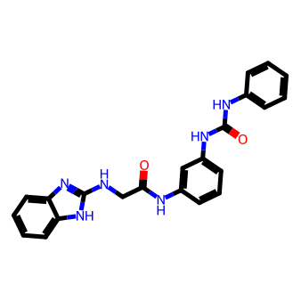 O=C(CNc1nc2ccccc2[nH]1)Nc1cccc(NC(=O)Nc2ccccc2)c1